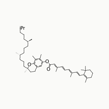 CC1=C(/C=C/C(C)=C/C=C/C(C)=C/C(=O)Oc2cc3c(c(C)c2C)O[C@](C)(CCC[C@H](C)CCC[C@H](C)CCCC(C)C)CC3)C(C)(C)CCC1